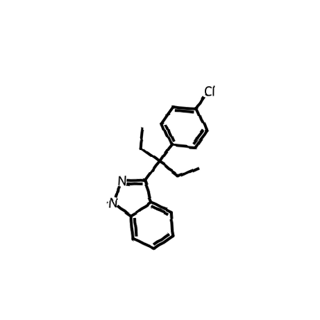 CCC(CC)(C1=N[N]c2ccccc21)c1ccc(Cl)cc1